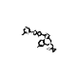 Cc1cncc(N2CC3(CC(c4nnc5n4-c4ccc(Cl)cc4CN(CC4(C#N)CC4)C5)C3)C2)n1